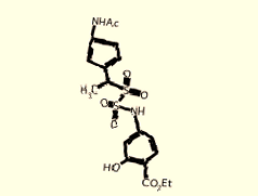 CCOC(=O)c1ccc(NS(=O)(=O)S(=O)(=O)C(C)c2ccc(NC(C)=O)cc2)cc1O